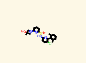 Cc1cccc(C)c1-c1nc(N[S+]([O-])c2cccc(N3CC(C)(O)C3)n2)ccc1Cl